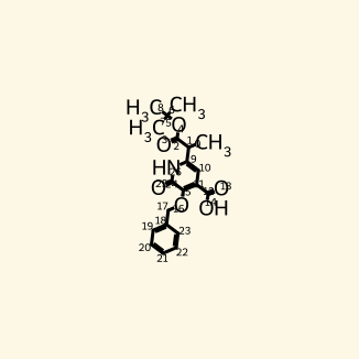 CC(C(=O)OC(C)(C)C)c1cc(C(=O)O)c(OCc2ccccc2)c(=O)[nH]1